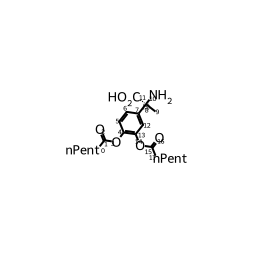 CCCCCC(=O)Oc1ccc([C@](C)(N)C(=O)O)cc1OC(=O)CCCCC